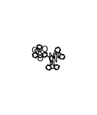 c1cc2c3c(c1)Oc1cc(-c4cc(-n5c6ccccc6c6ccccc65)nc(-n5c6ccccc6c6ccccc65)n4)cc4c1B3c1c(cccc1O4)O2